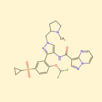 CN1CCCC1Cn1cc(NC(=O)c2cnn3cccnc23)c(-c2cc(S(=O)(=O)C3CC3)ccc2OC(F)F)n1